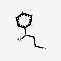 CN(CCCl)c1cc[c]cc1